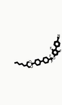 CCCCCC1COC(C2CCC(C3CCC(C(F)(F)Oc4cc(F)c(-c5ccc(C#N)cc5)c(F)c4)CC3)CC2)OC1